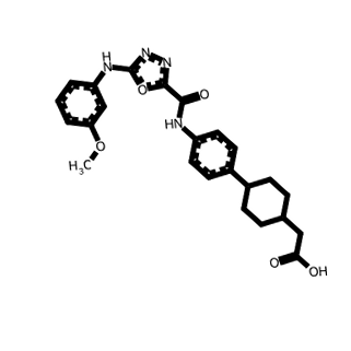 COc1cccc(Nc2nnc(C(=O)Nc3ccc(C4CCC(CC(=O)O)CC4)cc3)o2)c1